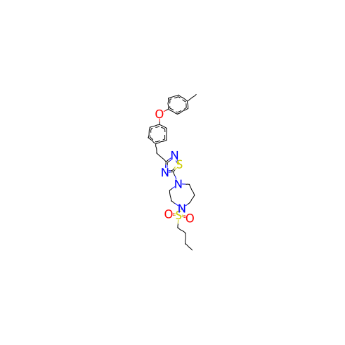 CCCCS(=O)(=O)N1CCCN(c2nc(Cc3ccc(Oc4ccc(C)cc4)cc3)ns2)CC1